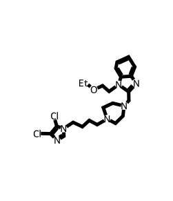 CCOCCn1c(CN2CCN(CCCCn3cnc(Cl)c3Cl)CC2)nc2ccccc21